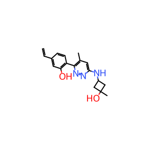 C=Cc1ccc(-c2nnc(NC3CC(C)(O)C3)cc2C)c(O)c1